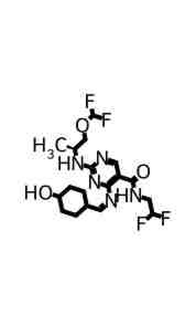 C[C@@H](COC(F)F)Nc1ncc(C(=O)NCC(F)F)c(/N=C\C2CCC(O)CC2)n1